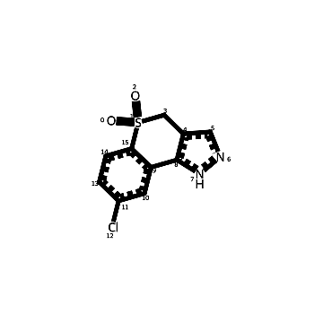 O=S1(=O)Cc2cn[nH]c2-c2cc(Cl)ccc21